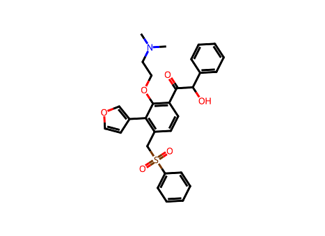 CN(C)CCOc1c(C(=O)C(O)c2ccccc2)ccc(CS(=O)(=O)c2ccccc2)c1-c1ccoc1